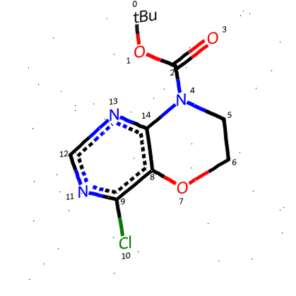 CC(C)(C)OC(=O)N1CCOc2c(Cl)ncnc21